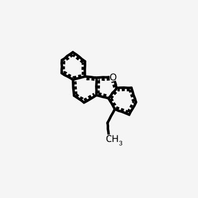 CCc1cccc2oc3c4ccccc4ccc3c12